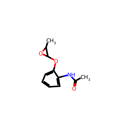 CC(=O)Nc1ccccc1OC1OC1C